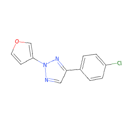 Clc1ccc(-c2cnn(-c3ccoc3)n2)cc1